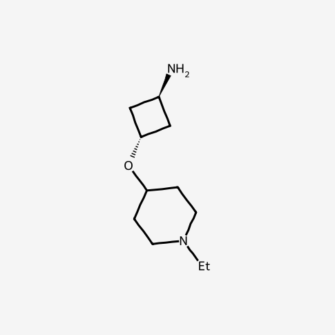 CCN1CCC(O[C@H]2C[C@H](N)C2)CC1